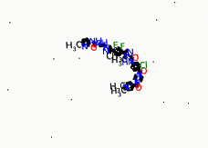 Cc1ccc(NC(=O)NCCn2cc(-c3ccc(-c4cnc(C(=O)Nc5ccc(C(=O)N6CCN(C(=O)C7CC[N+](C)(C)CC7)CC6)c(Cl)c5)n4C)c(F)c3F)c(C)n2)cn1